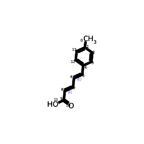 Cc1ccc(/C=C/C=C/C(=O)O)cc1